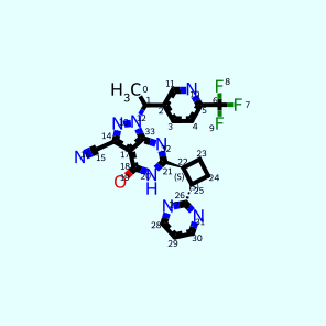 CC(c1ccc(C(F)(F)F)nc1)n1nc(C#N)c2c(=O)[nH]c([C@H]3CC[C@@H]3c3ncccn3)nc21